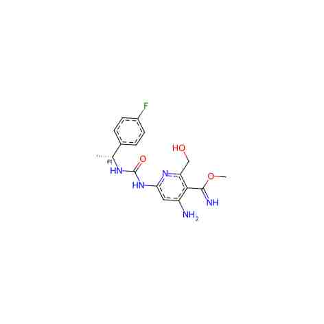 COC(=N)c1c(N)cc(NC(=O)N[C@H](C)c2ccc(F)cc2)nc1CO